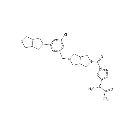 CC(=O)N(C)c1cnn(C(=O)N2CC3CN(Cc4cc(Cl)cc(C5CC6COCC6C5)c4)CC3C2)c1